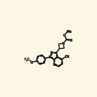 CC(C)(C)OC(=O)N1CC(c2nn(-c3ccc(OC(F)(F)F)cc3)c3nccc(C#N)c23)C1